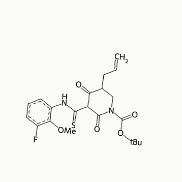 C=CCC1CN(C(=O)OC(C)(C)C)C(=O)C(C(=S)Nc2cccc(F)c2OC)C1=O